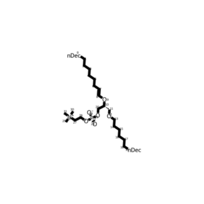 CCCCCCCCCCCCCCCCC=CO[C@H](COCCCCCCCCCCCCCCCC)COP(=O)([O-])OCC[N+](C)(C)C